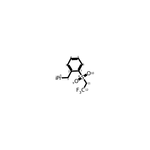 CC(C)Cc1ccccc1S(=O)(=O)CC(F)(F)F